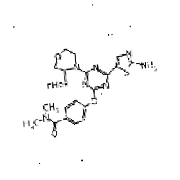 CCCCCCC1COCCN1c1nc(Oc2ccc(C(=O)N(C)C)cc2)nc(-c2cnc(N)s2)n1